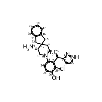 C=C(c1cc[nH]n1)c1c(N2CCC3(CC2)Cc2ccccc2[C@H]3N)ccc(O)c1Cl